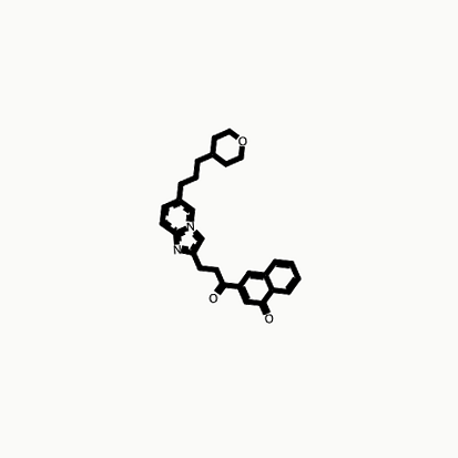 O=C(CCc1cn2cc(CCCC3CCOCC3)ccc2n1)C1=CC(=O)C2C=CC=CC2=C1